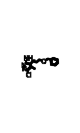 Cc1c(Cl)nnc(N)c1CCCOCc1ccccc1